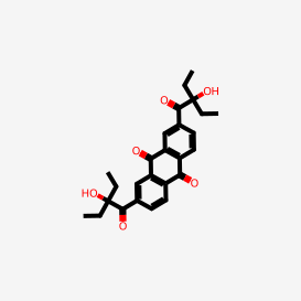 CCC(O)(CC)C(=O)c1ccc2c(c1)C(=O)c1cc(C(=O)C(O)(CC)CC)ccc1C2=O